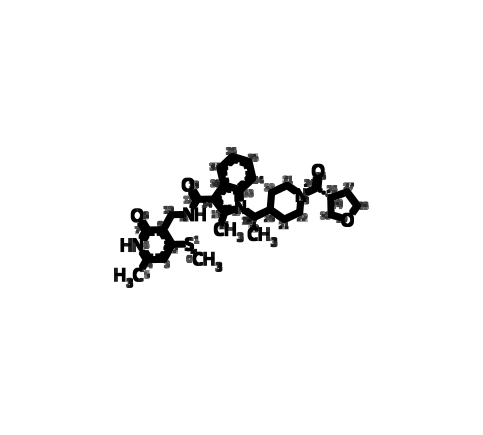 CSc1cc(C)[nH]c(=O)c1CNC(=O)c1c(C)n([C@@H](C)C2CCN(C(=O)[C@@H]3CCOC3)CC2)c2ccccc12